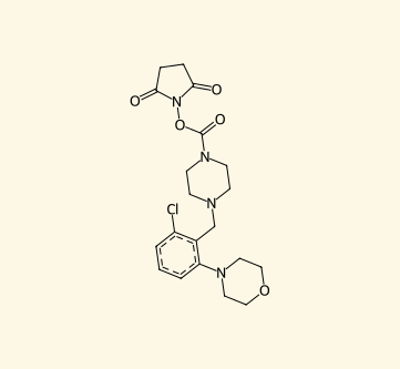 O=C(ON1C(=O)CCC1=O)N1CCN(Cc2c(Cl)cccc2N2CCOCC2)CC1